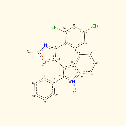 Cc1nc(-c2ccc(Cl)cc2Cl)c(-c2c(-c3ccccc3)n(C)c3ccccc23)o1